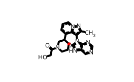 Cc1nn2cccc(C3CCCN(C(=O)CO)C3)c2c1-n1c(=O)[nH]c2cncnc21